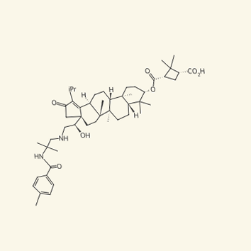 Cc1ccc(C(=O)NC(C)(C)CNC[C@H](O)[C@@]23CC[C@]4(C)[C@H](CC[C@@H]5[C@@]6(C)CC[C@H](OC(=O)[C@H]7C[C@@H](C(=O)O)C7(C)C)C(C)(C)[C@@H]6CC[C@]54C)C2=C(C(C)C)C(=O)C3)cc1